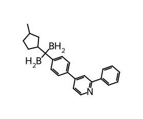 BC(B)(c1ccc(-c2ccnc(-c3ccccc3)c2)cc1)C1CCC(C)C1